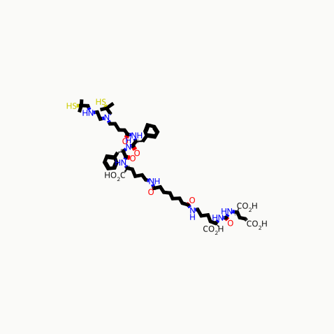 CC(C)(S)CNCCN(CCCCC(=O)N[C@@H](Cc1ccccc1)C(=O)N[C@@H](Cc1ccccc1)C(=O)N[C@@H](CCCCNC(=O)CCCCCCC(=O)NCCCC[C@H](NC(=O)N[C@@H](CCC(=O)O)C(=O)O)C(=O)O)C(=O)O)CC(C)(C)S